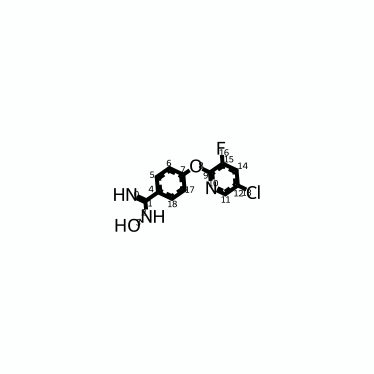 N=C(NO)c1ccc(Oc2ncc(Cl)cc2F)cc1